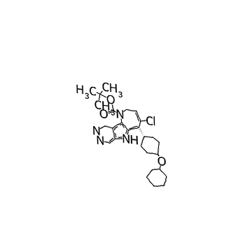 CC(C)(C)OC(=O)N1CC=C(Cl)C([C@H]2CC[C@H](OC3CCCCC3)CC2)=c2[nH]c3c(c21)CN=NC=3